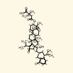 CC(C)C1=C2[C@H]3CC[C@@H]4[C@@]5(C)CC[C@H](OC(=O)CC(C)(C)C(=O)O)C6(C)C[C@]65CC[C@@]4(C)[C@]3(C)CC[C@@]2([C@H](O)CN(CCN(C)C)Cc2ccccc2Cl)CC1=O